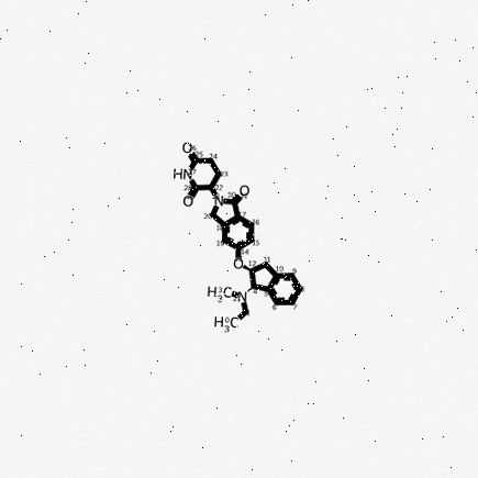 CCN(C)[C@H]1c2ccccc2C[C@@H]1Oc1ccc2c(c1)CN(C1CCC(=O)NC1=O)C2=O